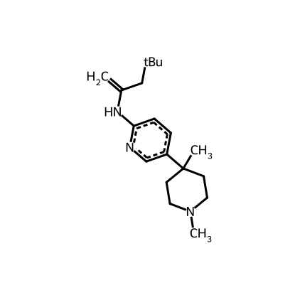 C=C(CC(C)(C)C)Nc1ccc(C2(C)CCN(C)CC2)cn1